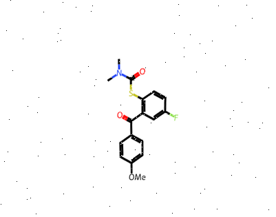 COc1ccc(C(=O)c2cc(F)ccc2SC(=O)N(C)C)cc1